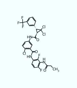 CCC(=O)Nc1c(F)ccc(NC(=O)c2cc(NC(=O)[C@H]3[C@H](c4cccc(C(F)(F)F)c4)C3(Cl)Cl)ccc2Cl)c1F